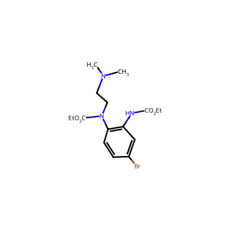 CCOC(=O)Nc1cc(Br)ccc1N(CCN(C)C)C(=O)OCC